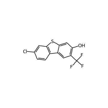 Oc1cc2sc3cc(Cl)ccc3c2cc1C(F)(F)F